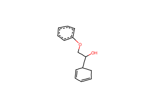 OC(COc1ccccc1)C1C=CC=CC1